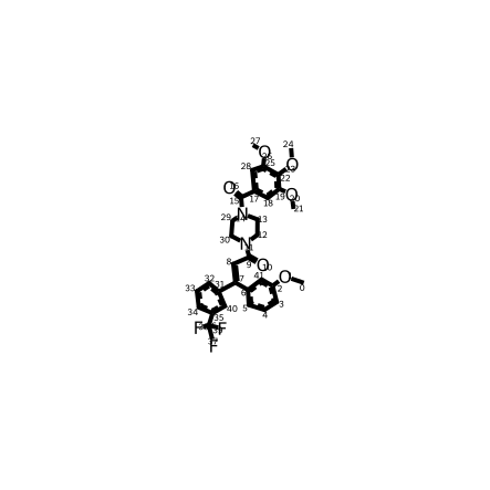 COc1cccc(/C(=C\C(=O)N2CCN(C(=O)c3cc(OC)c(OC)c(OC)c3)CC2)c2cccc(C(F)(F)F)c2)c1